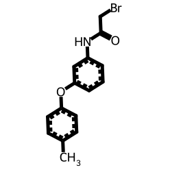 Cc1ccc(Oc2cccc(NC(=O)CBr)c2)cc1